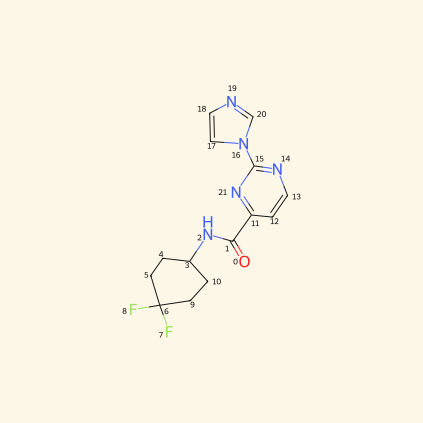 O=C(NC1CCC(F)(F)CC1)c1ccnc(-n2ccnc2)n1